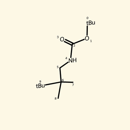 CC(C)(C)OC(=O)NCC(C)(C)C(C)(C)C